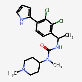 CC(NC(=O)N(C)C1CCN(C)CC1)c1ccc(-c2ccc[nH]2)c(Cl)c1Cl